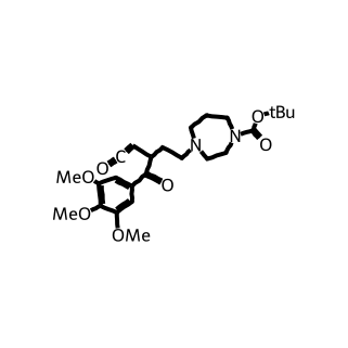 COc1cc(C(=O)C(C=C=O)CCN2CCCN(C(=O)OC(C)(C)C)CC2)cc(OC)c1OC